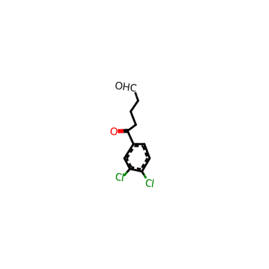 O=CCCCC(=O)c1ccc(Cl)c(Cl)c1